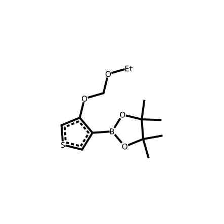 CCOCOc1cscc1B1OC(C)(C)C(C)(C)O1